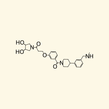 CNCc1cccc(C2CCN(C(=O)c3cccc(OCCC(=O)N4C[C@@H](O)[C@@H](O)C4)c3)CC2)c1